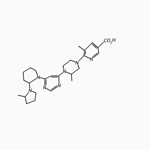 Cc1cc(C(=O)O)cnc1N1CCN(c2cc(N3CCCCC3N3CCCC3C)ncn2)C(C)C1